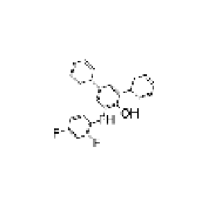 Oc1c(Pc2ccc(F)cc2F)cc(C2C=CC=CC2)cc1C1C=CC=CC1